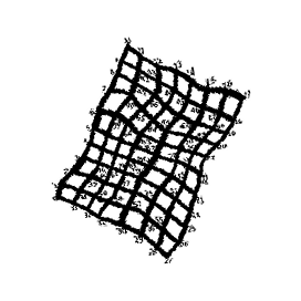 C1C2C3=C4C5C6=C7C8C9C%10CC%11C%12C%13C%14C%15C%16CC%17C%18C%19C%20C%21C%22C%23C%24C%25CC%26C%27C%28C%29C%30C1C21C32C43C54C65C76C87C98C%10%11C%129C%13%10C%14%11C%15%12C%16%17C%18%13C%19%14C%20%15C%21%16C%22%17C%23%18C%24%19C%26%25C%27%20C%28%21C%29%22C%301C21C32C43C54C65C76C89C%107C%118C%12%13C%149C%15%10C%16%11C%17%12C%18%13C%20%19C%21%14C%221C21C%14%13C%122C31C41C53C67C89C%103C%1112